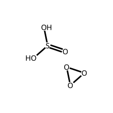 O=S(O)O.o1oo1